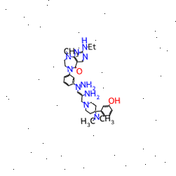 CCNc1ncc2c(n1)N(C)CCN(c1cccc(N(N)/C=C(\N)CN3CCC(c4cccc(O)c4)(N(C)C)CC3)c1)C2=O